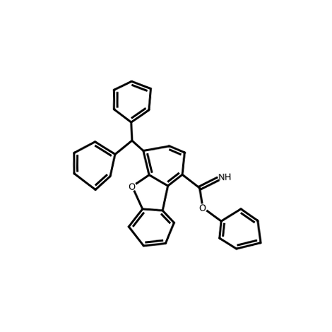 N=C(Oc1ccccc1)c1ccc(C(c2ccccc2)c2ccccc2)c2oc3ccccc3c12